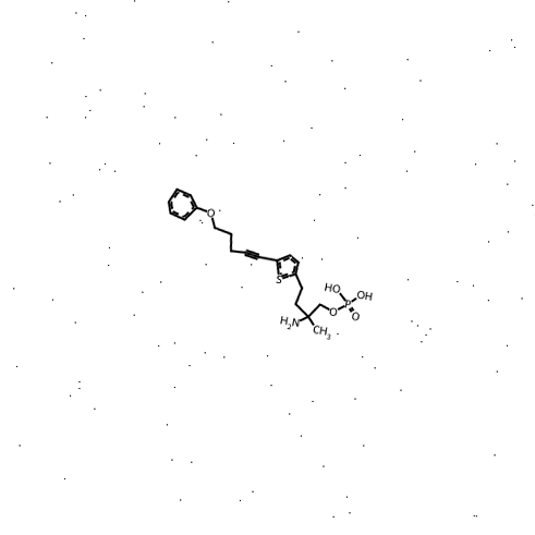 CC(N)(CCc1ccc(C#CCCCOc2ccccc2)s1)COP(=O)(O)O